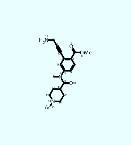 COC(=O)c1ccc(N(C)C(=O)C2CCN(C(C)=O)CC2)cc1C#CCN